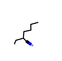 [CH2]CC(C#N)CCCC